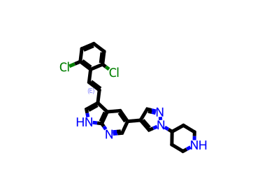 Clc1cccc(Cl)c1/C=C/c1c[nH]c2ncc(-c3cnn(C4CCNCC4)c3)cc12